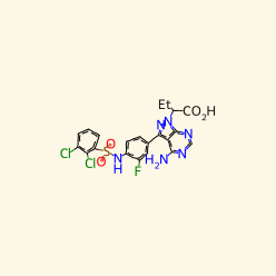 CCC(C(=O)O)n1nc(-c2ccc(NS(=O)(=O)c3cccc(Cl)c3Cl)c(F)c2)c2c(N)ncnc21